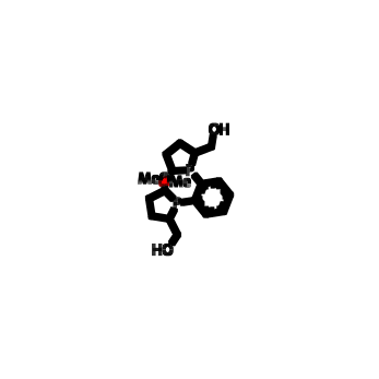 COC1CCC(CO)P1c1ccccc1P1C(CO)CCC1OC